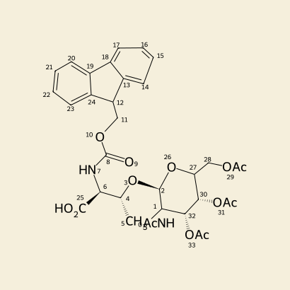 CC(=O)NC1[C@@H](O[C@H](C)[C@H](NC(=O)OCC2c3ccccc3-c3ccccc32)C(=O)O)OC(COC(C)=O)[C@H](OC(C)=O)[C@@H]1OC(C)=O